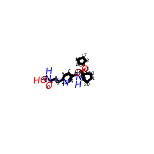 O=C(/C=C/c1ccc(CNC2(C(=O)OC3CCCC3)CCCCC2)cn1)NO